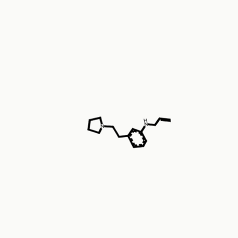 C=CCNc1cccc(CCN2CCCC2)c1